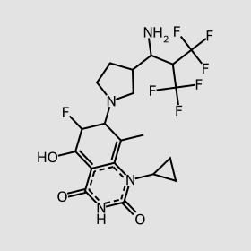 CC1=c2c(c(=O)[nH]c(=O)n2C2CC2)=C(O)C(F)C1N1CCC(C(N)C(C(F)(F)F)C(F)(F)F)C1